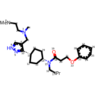 CNCCN(C)Cc1c[nH]nc1[C@H]1CC[C@@H](N(CC(C)C)C(=O)CCOc2ccccc2)CC1